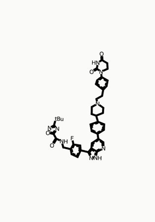 CC(C)(C)c1noc(C(=O)NCc2ccc(-c3n[nH]c4ncc(-c5ccc(C6CCN(CCc7ccc(N8CCC(=O)NC8=O)cc7)CC6)cc5)cc34)cc2F)n1